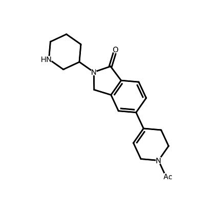 CC(=O)N1CC=C(c2ccc3c(c2)CN(C2CCCNC2)C3=O)CC1